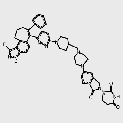 O=C1CC[C@H](N2Cc3cc(N4CCN(CC5CCN(c6ccc(C7=C(c8ccccc8)CCCc8c7ccc7[nH]nc(F)c87)nn6)CC5)CC4)ccc3C2=O)C(=O)N1